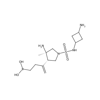 C=C(CCB(O)O)[C@H]1CN(S(=O)(=O)NC2CC(N)C2)C[C@]1(C)N